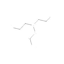 CCC[SiH](CCC)[N]CC